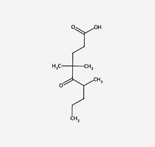 CCCC(C)C(=O)C(C)(C)CCC(=O)O